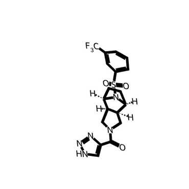 O=C(c1c[nH]nn1)N1C[C@@H]2[C@H](C1)[C@@H]1CC[C@H]2N1S(=O)(=O)c1cccc(C(F)(F)F)c1